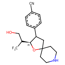 N#Cc1ccc(C2CC3(CCNCC3)O[C@H]2C(CO)C(F)(F)F)cc1